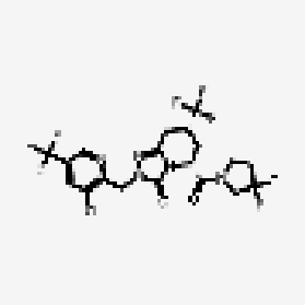 O=C([C@H]1C[C@@H](C(F)(F)F)Cc2nn(Cc3ncc(C(F)(F)F)cc3Cl)c(=O)n21)N1CCC(F)(F)C1